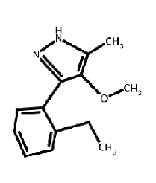 CCc1ccccc1-c1n[nH]c(C)c1OC